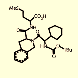 CSCCC(NC(=O)C1Cc2ccccc2CN1C(=O)C(NC(=O)OC(C)(C)C)C1CCCCC1)C(=O)O